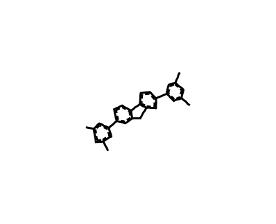 Cc1cc(C)cc(-c2ccc3c(c2)Cc2cc(-c4cc(C)cc(C)c4)ccc2-3)c1